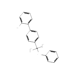 Fc1ccccc1-c1ccc(C(F)(F)Oc2ccccc2)cc1